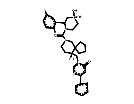 O=C(N1CCC(O)(Cn2cnc(-c3ccccc3)cc2=O)C2(CCCC2)C1)N1CCS(O)(O)CC1c1cc(F)ccc1F